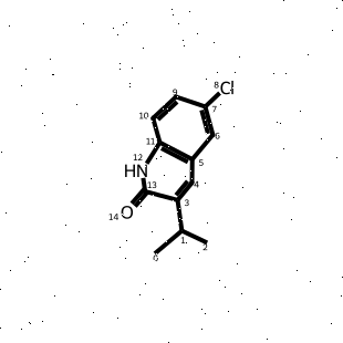 CC(C)c1cc2cc(Cl)ccc2[nH]c1=O